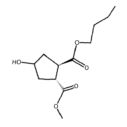 CCCCOC(=O)[C@@H]1CC(O)C[C@H]1C(=O)OC